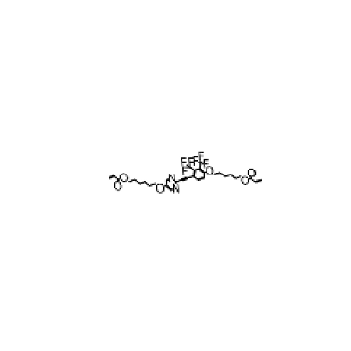 C=CC(=O)OCCCCCCOc1cnc(C#Cc2ccc(OCCCCCCOC(=O)C=C)c(C(F)(F)F)c2C(F)(F)F)nc1